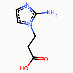 Nc1nccn1CCC(=O)O